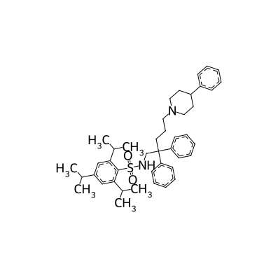 CC(C)c1cc(C(C)C)c(S(=O)(=O)NCC(CCCN2CCC(c3ccccc3)CC2)(c2ccccc2)c2ccccc2)c(C(C)C)c1